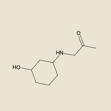 CC(=O)CNC1CCCC(O)C1